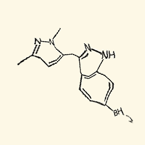 Bc1ccc2c(-c3cc(C)nn3C)n[nH]c2c1